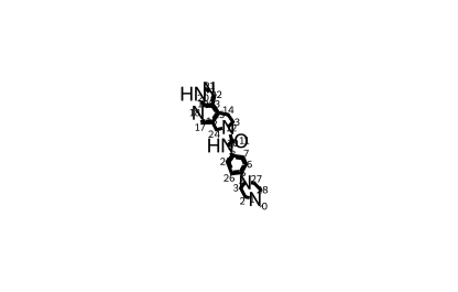 CN1CCN(c2ccc(NC(=O)N3CCc4c(cnc5[nH]ncc45)C3)cc2)CC1